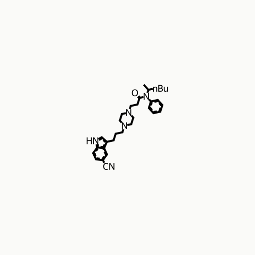 CCCCC(C)N(C(=O)CCN1CCN(CCCc2c[nH]c3ccc(C#N)cc23)CC1)c1ccccc1